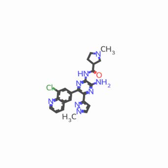 CN1CCC(C(=O)Nc2nc(-c3cc(Cl)c4ncccc4c3)c(-c3ccn(C)n3)nc2N)C1